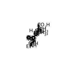 CCNC(=O)Nc1nc2cc(-c3cnc(C(C)(C)C(CCCC(=O)O)N(C)C)nc3)cc(-c3ccccn3)c2s1